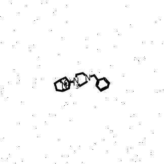 CN1C2CCC1CC(N1CCN(Cc3ccccc3)CC1)C2